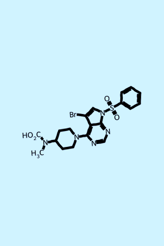 CN(C(=O)O)C1CCN(c2ncnc3c2c(Br)cn3S(=O)(=O)c2ccccc2)CC1